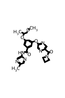 COCC(C)Oc1cc(Oc2cnc(C(=O)N3CCC3)cn2)cc(C(=O)Nc2cnc(C)cn2)c1